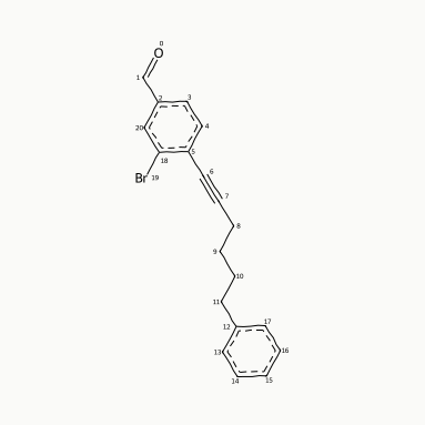 O=Cc1ccc(C#CCCCCc2ccccc2)c(Br)c1